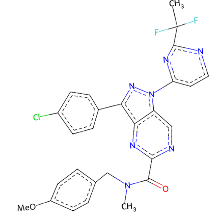 COc1ccc(CN(C)C(=O)c2ncc3c(n2)c(-c2ccc(Cl)cc2)nn3-c2ccnc(C(C)(F)F)n2)cc1